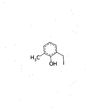 Cc1cccc(CI)c1O